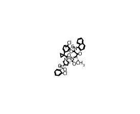 CC[C@H](NC(=O)[C@@H]1C[C@@H](S(=O)(=O)c2ccccc2Cl)CN1C(=O)C1(c2ccc(Cl)cc2)CC1)C(=O)C(=O)N(C)c1cccc2ccccc12